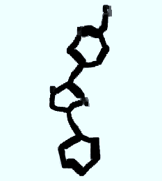 Clc1ccc(C2=N[C@@H](c3ccccc3)CO2)cn1